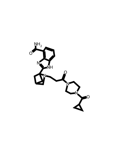 NC(=O)c1cccc2[nH]c(C34CC(CN3CCC(=O)N3CCN(C(=O)C5CC5)CC3)C4)nc12